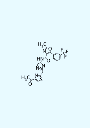 CC(=O)c1csc(Cn2ncc(NC(=O)c3nc(C)oc3-c3cccc(C(F)(F)F)c3)n2)n1